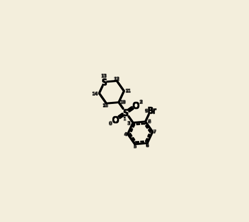 O=S(=O)(c1ccccc1Br)C1CCSCC1